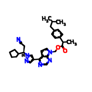 CC(C)Cc1ccc(C(C)C(=O)OCn2ccc3c(-c4cnn([C@H](CC#N)C5CCCC5)c4)ncnc32)cc1